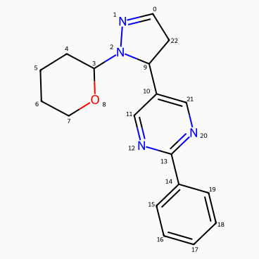 C1=NN(C2CCCCO2)C(c2cnc(-c3ccccc3)nc2)C1